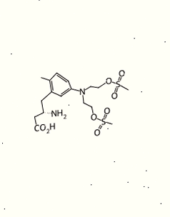 Cc1ccc(N(CCOS(C)(=O)=O)CCOS(C)(=O)=O)cc1C[C@H](N)CC(=O)O